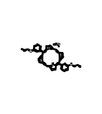 CCCOc1cccc(C2=C3C=CC(=N3)C=C3C=CC(=N3)C(c3cccc(OCCC)c3)=C3C=CC(=N3)C=C3C=CC2=N3)c1.CNC